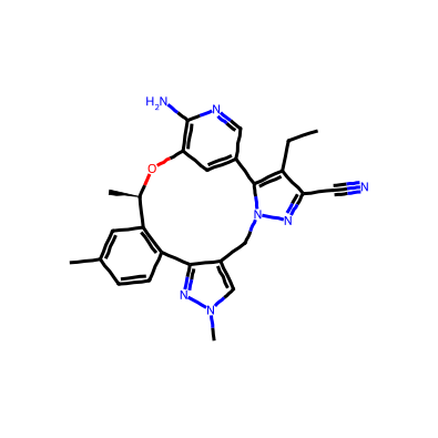 CCc1c(C#N)nn2c1-c1cnc(N)c(c1)O[C@H](C)c1cc(C)ccc1-c1nn(C)cc1C2